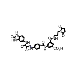 CC(=O)C(/N=N/c1ccc(C(=O)Nc2cc(C(=O)O)cc(C(=O)NCCCN3C(=O)C=CC3=O)c2)cc1)C(=O)Nc1ccc2[nH]c(=O)[nH]c2c1